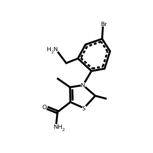 CC1=C(C(N)=O)SC(C)N1c1ccc(Br)cc1CN